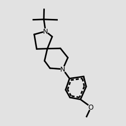 COc1ccc(N2CCC3(CC2)CCN(C(C)(C)C)C3)cc1